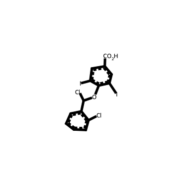 O=C(O)c1cc(I)c(OC(Cl)c2ccccc2Cl)c(I)c1